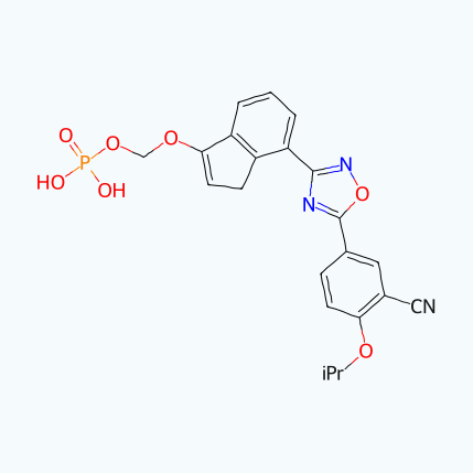 CC(C)Oc1ccc(-c2nc(-c3cccc4c3CC=C4OCOP(=O)(O)O)no2)cc1C#N